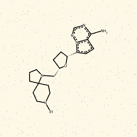 CCN1CCC2(CCCN2C[C@@H]2CC[C@H](c3ccc4c(N)ncnn34)O2)CC1